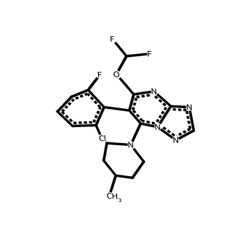 CC1CCN(c2c(-c3c(F)cccc3Cl)c(OC(F)F)nc3ncnn23)CC1